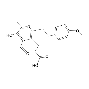 COc1ccc(CCc2nc(C)c(O)c(C=O)c2CCC(=O)O)cc1